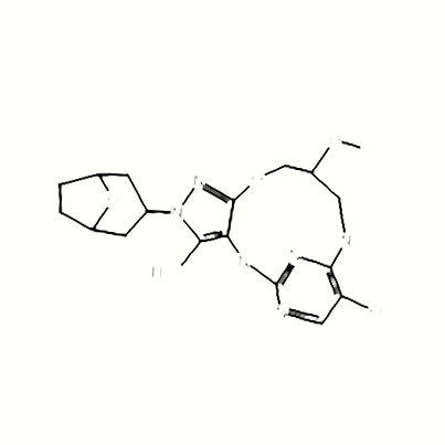 COC1CNc2nc(ncc2Cl)Nc2c(nn(C3CC4CCC(C3)O4)c2C)OC1